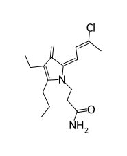 C=c1c(CC)c(CCC)n(CCC(N)=O)/c1=C/C=C(\C)Cl